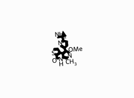 COc1nc(C)c2[nH]c(=O)c3sccc3c2c1-c1ccc(C2(CN)CC2)nc1